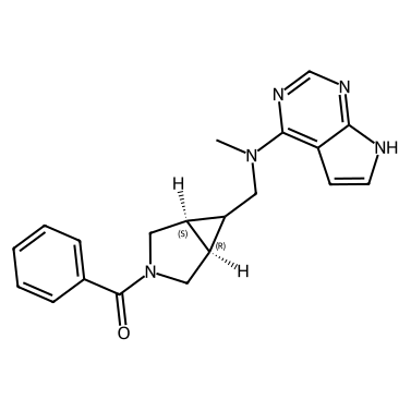 CN(CC1[C@H]2CN(C(=O)c3ccccc3)C[C@@H]12)c1ncnc2[nH]ccc12